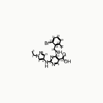 CCn1cc(Nc2ncc(C(=O)O)c(NCc3c(F)cccc3Br)n2)cn1